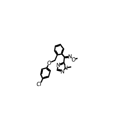 CON=C(c1ccccc1COc1ccc(Cl)cc1)c1ncnn1C